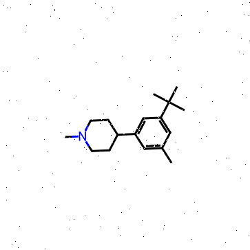 Cc1cc(C2CCN(C)CC2)cc(C(C)(C)C)c1